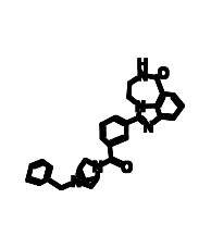 O=C1NCCn2c(-c3cccc(C(=O)N4CC5CC4CN5Cc4ccccc4)c3)nc3cccc1c32